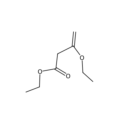 C=C(CC(=O)OCC)OCC